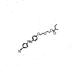 CCC(C)C(=O)OCCOCCOc1ccc(N=Nc2ccc(C#N)cc2)cc1